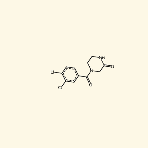 O=C1CN(C(=O)c2ccc(Cl)c(Cl)c2)CCN1